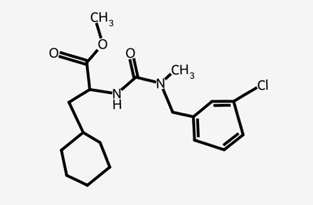 COC(=O)C(CC1CCCCC1)NC(=O)N(C)Cc1cccc(Cl)c1